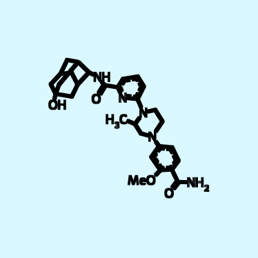 COc1cc(N2CCN(c3cccc(C(=O)NC4C5CC6CC4CC(O)(C6)C5)n3)C(C)C2)ccc1C(N)=O